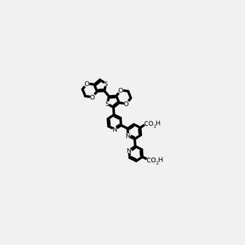 O=C(O)c1ccnc(-c2cc(C(=O)O)cc(-c3cc(-c4sc(-c5scc6c5OCCO6)c5c4OCCO5)ccn3)n2)c1